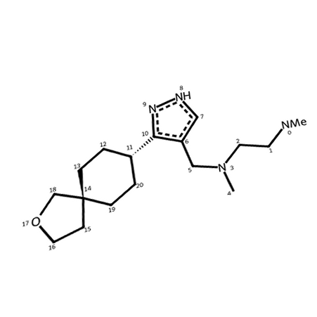 CNCCN(C)Cc1c[nH]nc1[C@H]1CC[C@]2(CCOC2)CC1